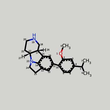 COc1cc(C(C)C)ccc1-c1cc2c3c(c1)[C@H]1CNCC[C@H]1N3CC2